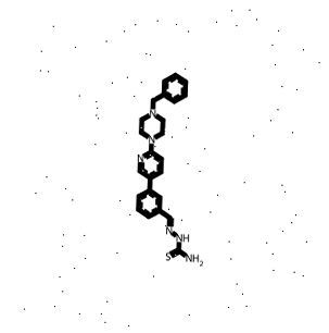 NC(=S)N/N=C/c1cccc(-c2ccc(N3CCN(Cc4ccccc4)CC3)nc2)c1